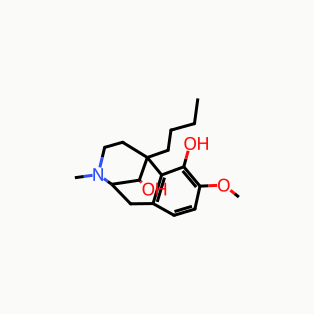 CCCCC12CCN(C)C(Cc3ccc(OC)c(O)c31)C2O